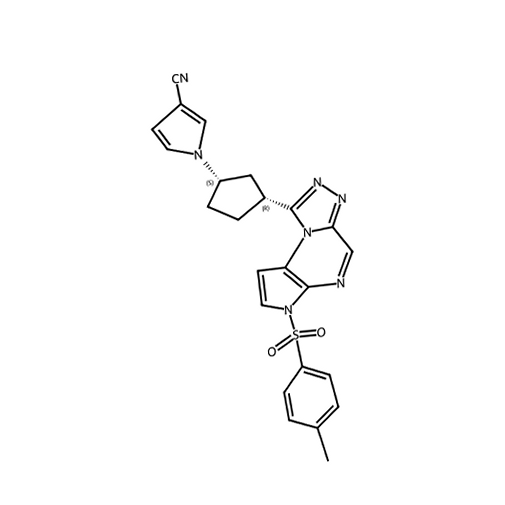 Cc1ccc(S(=O)(=O)n2ccc3c2ncc2nnc([C@@H]4CC[C@H](n5ccc(C#N)c5)C4)n23)cc1